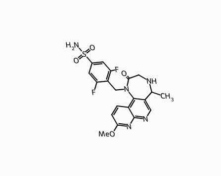 COc1ccc2c3c(cnc2n1)C(C)NCC(=O)N3Cc1c(F)cc(S(N)(=O)=O)cc1F